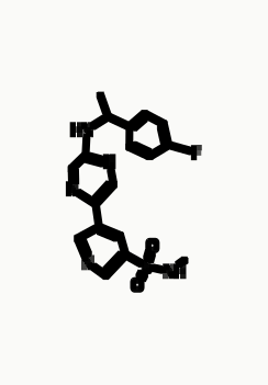 CNS(=O)(=O)c1cncc(-c2cnc(NC(C)c3ccc(F)cc3)cn2)c1